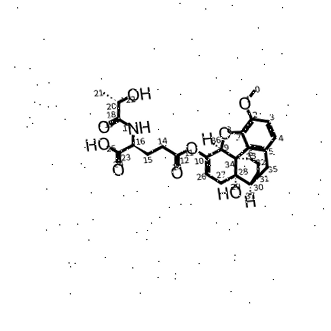 COc1ccc2c3c1O[C@@H]1C(OC(=O)CC[C@H](NC(=O)[C@H](C)O)C(=O)O)=CC[C@]4(O)[C@@H](CCC[C@@]314)C2